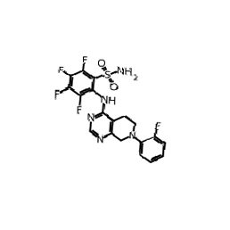 NS(=O)(=O)c1c(F)c(F)c(F)c(F)c1Nc1ncnc2c1CCN(c1ccccc1F)C2